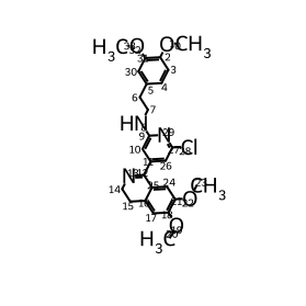 COc1ccc(CCNc2cc(C3=NCCc4cc(OC)c(OC)cc43)cc(Cl)n2)cc1OC